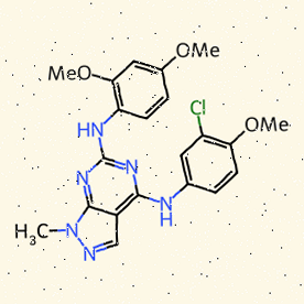 COc1ccc(Nc2nc(Nc3ccc(OC)c(Cl)c3)c3cnn(C)c3n2)c(OC)c1